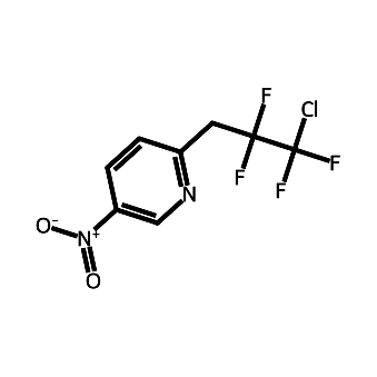 O=[N+]([O-])c1ccc(CC(F)(F)C(F)(F)Cl)nc1